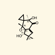 [CH2][C@]1(C)C=C2C(=O)[C@](C)(O)C3(CC3)[C@@]3(C)O[C@@]23[C@H]1O